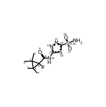 CC1(C)C(C)(C)C1(F)C(=O)Nc1nnc(S(N)(=O)=O)s1